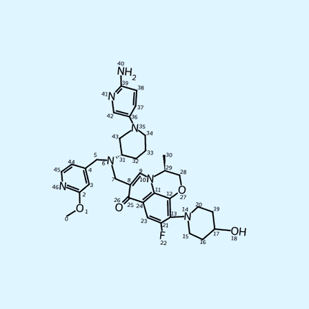 COc1cc(CN(Cc2cn3c4c(c(N5CCC(O)CC5)c(F)cc4c2=O)OC[C@@H]3C)[C@H]2CCCN(c3ccc(N)nc3)C2)ccn1